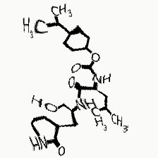 CC(C)C[C@H](NC(=O)OC1CCC(C(C)C)CC1)C(=O)N[C@H](CO)C[C@@H]1CCNC1=O